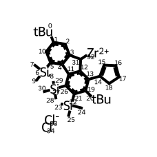 CC(C)(C)c1cc2c(c([Si](C)(C)C)c1)-c1c(c(C3=CC=CC3)c(C(C)(C)C)c([Si](C)(C)C)c1[Si](C)(C)C)[CH]2[Zr+2].[Cl-].[Cl-]